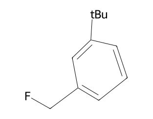 CC(C)(C)c1cccc(CF)c1